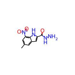 Cc1cc([N+](=O)[O-])c2[nH]c(C(=O)NN)cc2c1